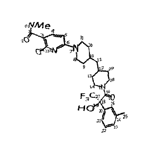 CNC(=O)c1ccc(N2CCC(CC3CCN(C(=O)[C@](O)(c4cccc(C)c4)C(F)(F)F)CC3)CC2)nc1Cl